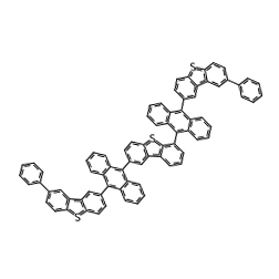 c1ccc(-c2ccc3sc4ccc(-c5c6ccccc6c(-c6ccc7sc8c(-c9c%10ccccc%10c(-c%10ccc%11sc%12ccc(-c%13ccccc%13)cc%12c%11c%10)c%10ccccc9%10)cccc8c7c6)c6ccccc56)cc4c3c2)cc1